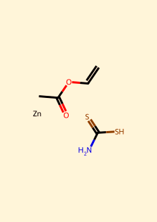 C=COC(C)=O.NC(=S)S.[Zn]